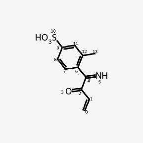 C=CC(=O)C(=N)c1ccc(S(=O)(=O)O)cc1C